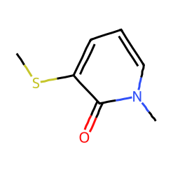 CSc1cccn(C)c1=O